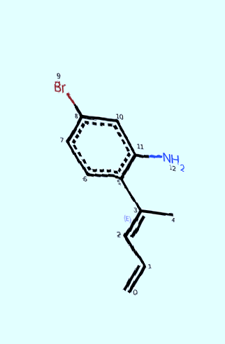 C=C/C=C(\C)c1ccc(Br)cc1N